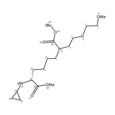 COCCOCCN(CCCC[C@@H](NC1CC1)C(=O)OC)C(=O)OC(C)(C)C